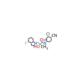 C[C@](O)(Cn1ccc2c(F)cccc21)C(=O)Nc1ccc(C#N)c(Cl)c1